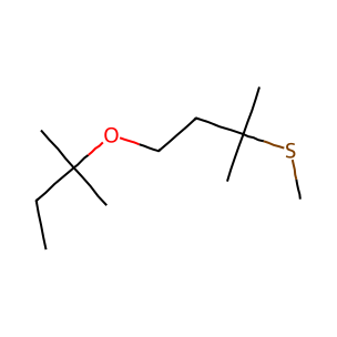 CCC(C)(C)OCCC(C)(C)SC